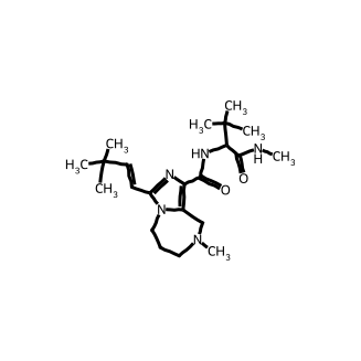 CNC(=O)C(NC(=O)c1nc(C=CC(C)(C)C)n2c1CN(C)CCC2)C(C)(C)C